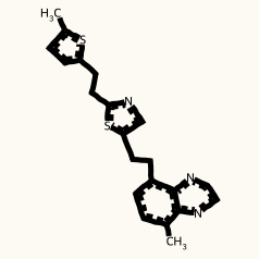 Cc1ccc(CCc2ncc(CCc3ccc(C)c4nccnc34)s2)s1